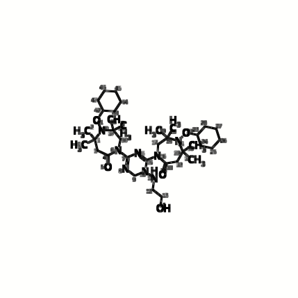 CC1(C)CC(=O)N(C2=NCN(NCCO)C(N3CC(C)(C)N(OC4CCCCC4)C(C)(C)CC3=O)=N2)CC(C)(C)N1OC1CCCCC1